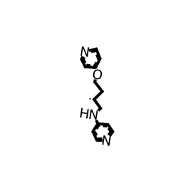 [CH](CCOc1ccncc1)CNc1ccncc1